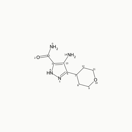 NC(=O)c1[nH]nc(C2CCOCC2)c1N